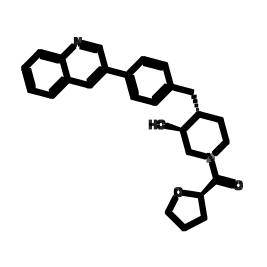 O=C([C@H]1CCCO1)N1CC[C@@H](Cc2ccc(-c3cnc4ccccc4c3)cc2)[C@H](O)C1